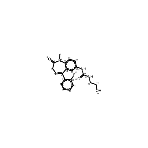 CN1C(=O)CN=C(c2ccccc2F)c2cc(NC(=O)NCCO)ccc21